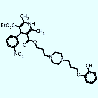 CCOC(=O)C1=C(C)NC(C)=C(C(=O)OCCCN2CCN(CCCOc3ccccc3C)CC2)C1c1cccc([N+](=O)[O-])c1